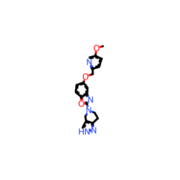 COc1ccc(COc2ccc3oc(N4CCc5n[nH]cc5C4)nc3c2)nc1